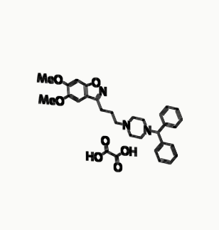 COc1cc2onc(CCCN3CCN(C(c4ccccc4)c4ccccc4)CC3)c2cc1OC.O=C(O)C(=O)O